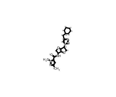 Cc1cc(C(=O)NC2COC3C2OCC3n2cc(CC3CCCCC3)nn2)n(C)n1